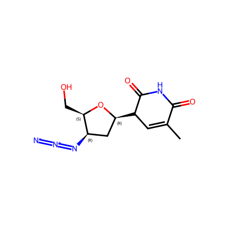 CC1=CC([C@H]2C[C@@H](N=[N+]=[N-])[C@@H](CO)O2)C(=O)NC1=O